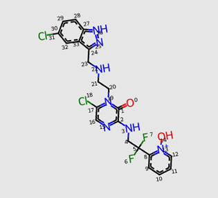 O=c1c(NCC(F)(F)c2cccc[n+]2O)ncc(Cl)n1CCNCc1n[nH]c2ccc(Cl)cc12